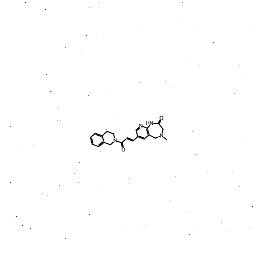 CN1CC(=O)Nc2ncc(/C=C/C(=O)N3CCc4ccccc4C3)cc2C1